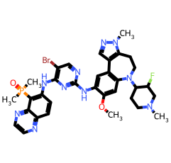 COc1cc2c(cc1Nc1ncc(Br)c(Nc3ccc4nccnc4c3P(C)(C)=O)n1)-c1cnn(C)c1CCN2C1CCN(C)CC1F